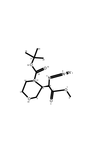 COC(=O)C(N=[N+]=[N-])[C@H]1COCCN1C(=O)OC(C)(C)C